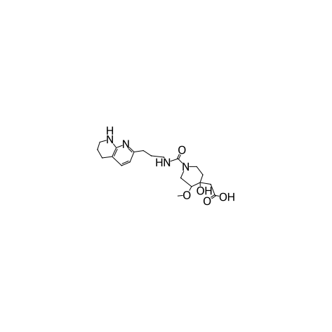 COC1CN(C(=O)NCCCc2ccc3c(n2)NCCC3)CCC1(O)CC(=O)O